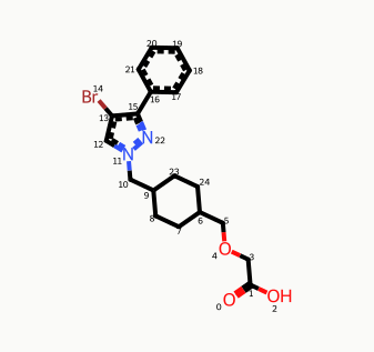 O=C(O)COCC1CCC(Cn2cc(Br)c(-c3ccccc3)n2)CC1